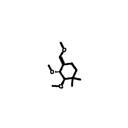 CO/C=C1\CCC(C)(C)[C@@H](OC)[C@@H]1OC